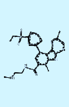 CCS(=O)(=O)c1cccc(-c2cc(C(=O)NCCNC)c(C)c3[nH]c4ncc(C)cc4c23)c1